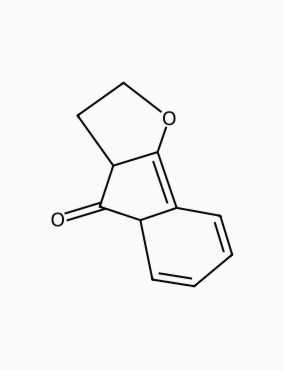 O=C1C2C=CC=CC2=C2OCCC12